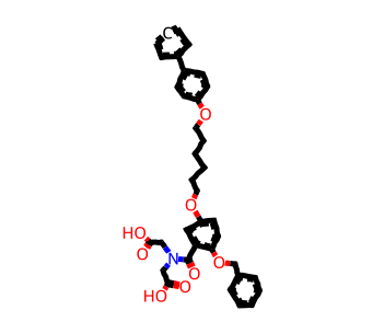 O=C(O)CN(CC(=O)O)C(=O)c1cc(OCCCCCCOc2ccc(-c3ccccc3)cc2)ccc1OCc1ccccc1